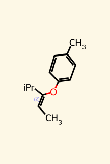 C/C=C(\Oc1ccc(C)cc1)C(C)C